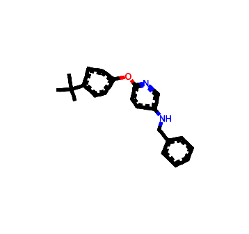 CC(C)(C)c1ccc(Oc2ccc(NCc3ccccc3)cn2)cc1